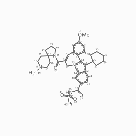 COc1ccc2c(c1)C=C(C(=O)N1CCCC13CCN(C)CC3)Cn1c-2c(C2CCCCC2)c2ccc(C(=O)NS(=O)(=O)C(C)C)cc21